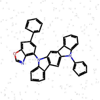 c1ccc(-c2cc(-n3c4ccccc4c4cc5c(cc43)c3ccccc3n5-c3ccccc3)c3ncoc3c2)cc1